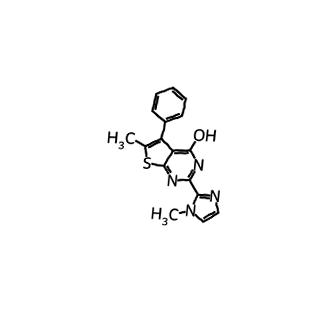 Cc1sc2nc(-c3nccn3C)nc(O)c2c1-c1ccccc1